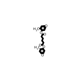 CC1CC23OC2(CC1OC(=O)CCCCC(=O)OC1CC24OC2(CC1C)O4)O3